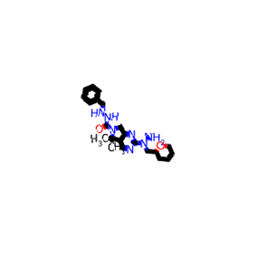 CC1(C)c2cnc(N(N)CC3CCCCO3)nc2CN1C(=O)NNCc1ccccc1